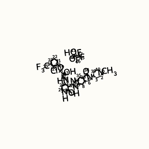 CN1CCC(N2Cc3cc4[nH]c(-c5c(NC[C@@H](O)COc6cccc(C(F)(F)F)c6Cl)cc[nH]c5=O)nc4cc3C2=O)CC1.O=C(O)C(F)(F)F